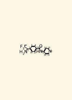 NC(c1ccc(C(=O)Nc2ccncc2)cc1)C(F)(F)F